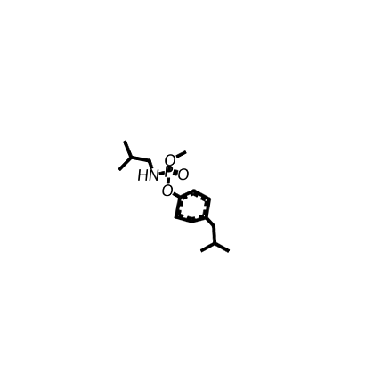 COP(=O)(NCC(C)C)Oc1ccc(CC(C)C)cc1